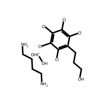 NCCCCN.O=CO.OCCCc1c(Cl)c(Cl)c(Cl)c(Cl)c1Cl